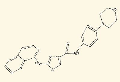 O=C(Nc1ccc(N2CCOCC2)cc1)c1csc(Nc2cccc3cccnc23)n1